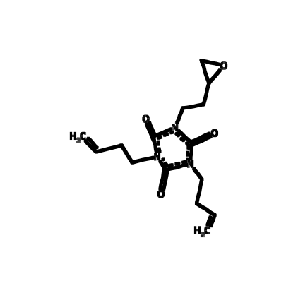 C=CCCn1c(=O)n(CCC=C)c(=O)n(CCC2CO2)c1=O